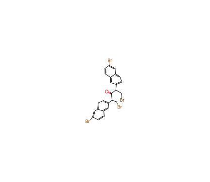 O=C(C(CBr)c1ccc2cc(Br)ccc2c1)C(CBr)c1ccc2cc(Br)ccc2c1